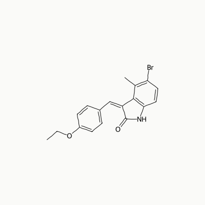 CCOc1ccc(C=C2C(=O)Nc3ccc(Br)c(C)c32)cc1